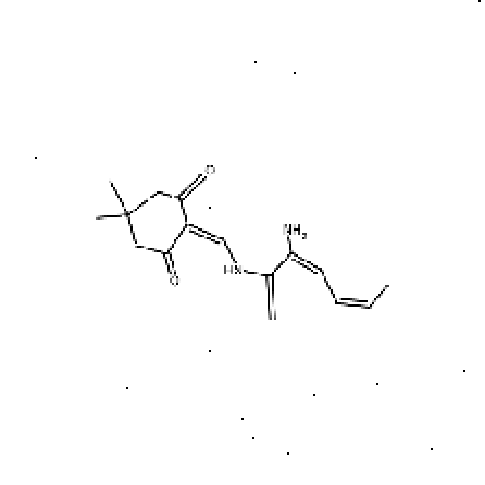 C=C(NC=C1C(=O)CC(C)(C)CC1=O)/C(N)=C\C=C/C